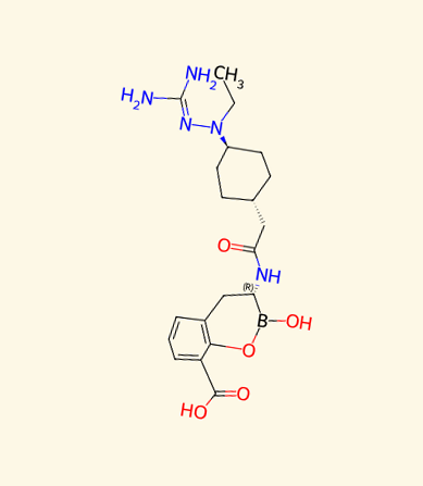 CCN(N=C(N)N)[C@H]1CC[C@H](CC(=O)N[C@H]2Cc3cccc(C(=O)O)c3OB2O)CC1